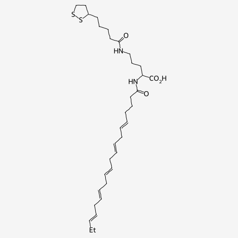 CCC=CCC=CCC=CCC=CCC=CCCCC(=O)NC(CCCNC(=O)CCCCC1CCSS1)C(=O)O